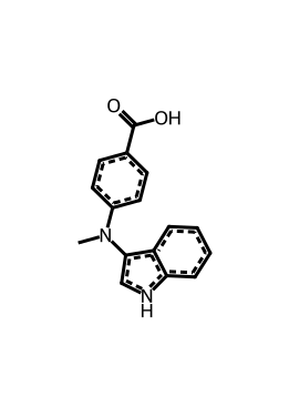 CN(c1ccc(C(=O)O)cc1)c1c[nH]c2ccccc12